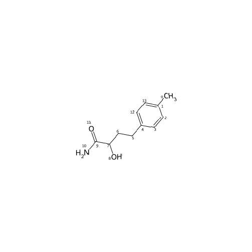 Cc1ccc(CCC(O)C(N)=O)cc1